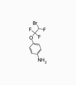 Nc1ccc(OC(F)(F)C(F)Br)cc1